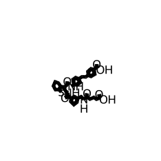 O=C(O)CCCC(=O)NCc1cccc(C(=O)Nc2sc3c(c2C(=O)Nc2ccc(CCc4ccc(C(=O)O)cc4)cc2)CCCC3)c1